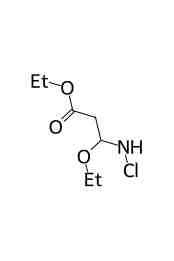 CCOC(=O)CC(NCl)OCC